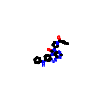 CC#CC(=O)N1CC[C@@H](n2c(=O)n(-c3ccc(Nc4ccccc4)cc3)c3c(N)ncnc32)C1